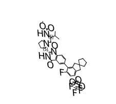 COC(=O)N[C@H](C(=O)N1CCC[C@H]1c1nc2ccc(-c3c(F)cc(OS(=O)(=O)C(F)(F)F)c4c3CC3(CCCC3)C4)cc2c(=O)[nH]1)C(C)C